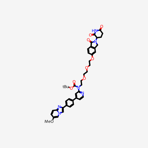 COc1ccc2nc(-c3ccc(-c4ccnc(N(CCOCCOCCOc5ccc6c(c5)CN(C5CCC(=O)NC5=O)C6=O)C(=O)OC(C)(C)C)c4)cc3)cn2c1